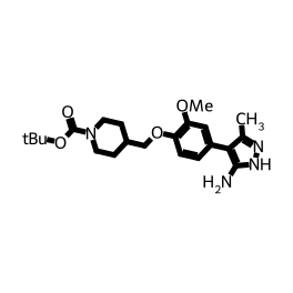 COc1cc(-c2c(C)n[nH]c2N)ccc1OCC1CCN(C(=O)OC(C)(C)C)CC1